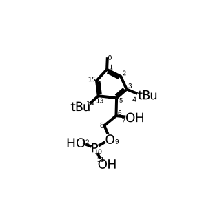 Cc1cc(C(C)(C)C)c(C(O)COP(O)O)c(C(C)(C)C)c1